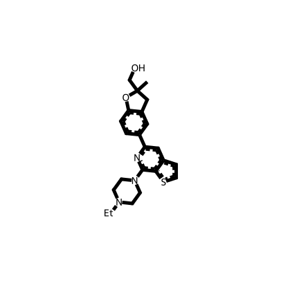 CCN1CCN(c2nc(-c3ccc4c(c3)CC(C)(CO)O4)cc3ccsc23)CC1